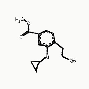 COC(=O)c1ccc(CCO)c(OC2CC2)c1